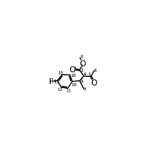 COC(=O)C(C(C)=O)C(C)c1ccc(F)cc1